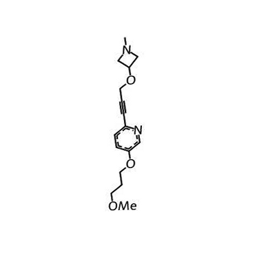 COCCCOc1ccc(C#CCOC2CN(C)C2)nc1